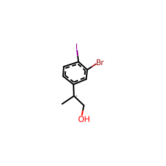 C[C](CO)c1ccc(I)c(Br)c1